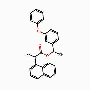 CCC(C)C(C(=O)OC(C#N)c1cccc(Oc2ccccc2)c1)c1cccc2ccccc12